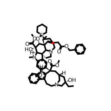 CC[C@]1(O)C[C@@H]2CN(CCc3c([nH]c4ccccc34)[C@@](C(=O)OC)(c3cc4c(cc3OC)N(C)[C@H]3[C@@](O)(C(=O)OC)[C@H](O[Si]5(CCCCC(=O)OCc6ccccc6)CCCCC5)[C@]5(CC)C=CCN6CC[C@]43C65)C2)C1